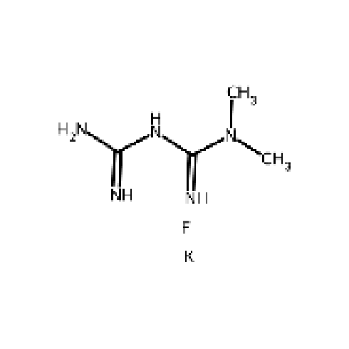 CN(C)C(=N)NC(=N)N.[F-].[K+]